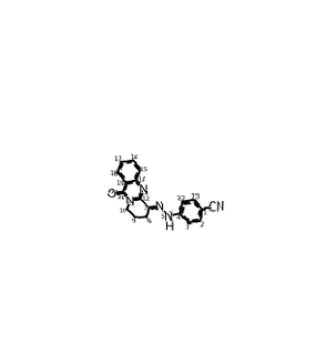 N#Cc1ccc(N/N=C2\CCCn3c2nc2ccccc2c3=O)cc1